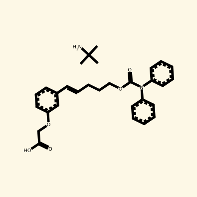 CC(C)(C)N.O=C(O)COc1cccc(/C=C/CCCOC(=O)N(c2ccccc2)c2ccccc2)c1